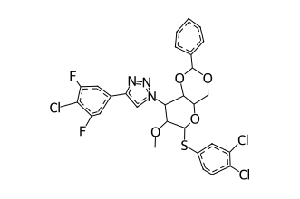 COC1C(Sc2ccc(Cl)c(Cl)c2)OC2COC(c3ccccc3)OC2C1n1cc(-c2cc(F)c(Cl)c(F)c2)nn1